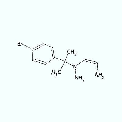 CC(C)(c1ccc(Br)cc1)N(N)/C=C\N